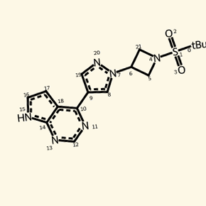 CC(C)(C)S(=O)(=O)N1CC(n2cc(-c3ncnc4[nH]ccc34)cn2)C1